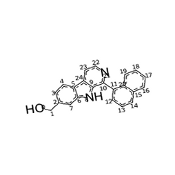 OCc1ccc2c(c1)[nH]c1c(-c3cccc4ccccc34)nccc12